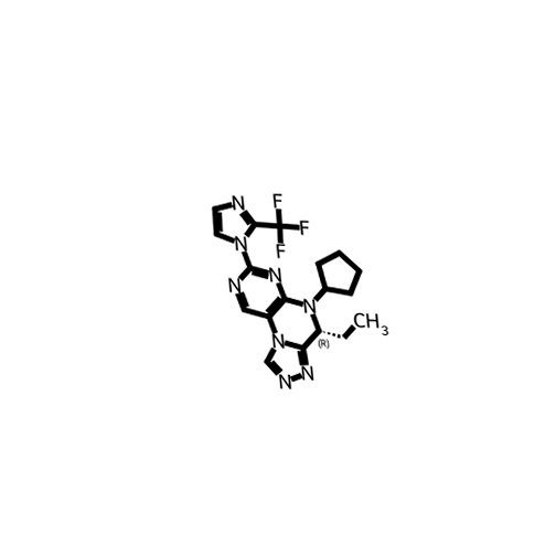 CC[C@@H]1c2nncn2-c2cnc(-n3ccnc3C(F)(F)F)nc2N1C1CCCC1